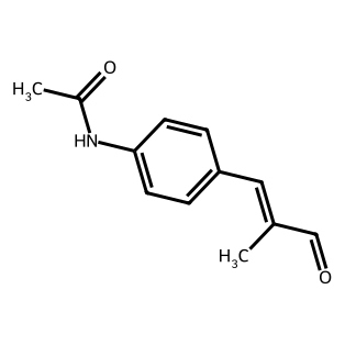 CC(=O)Nc1ccc(/C=C(\C)C=O)cc1